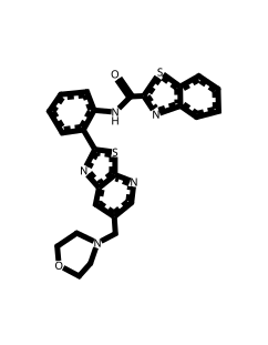 O=C(Nc1ccccc1-c1nc2cc(CN3CCOCC3)cnc2s1)c1nc2ccccc2s1